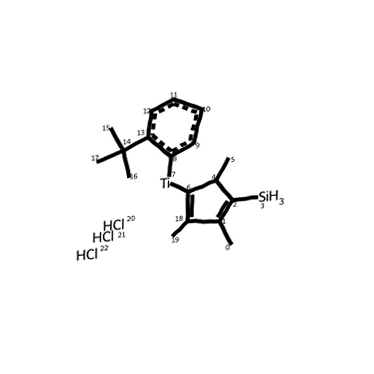 CC1=C([SiH3])C(C)[C]([Ti][c]2ccccc2C(C)(C)C)=C1C.Cl.Cl.Cl